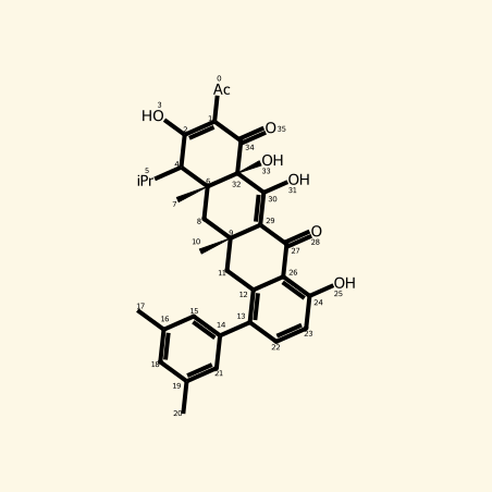 CC(=O)C1=C(O)C(C(C)C)[C@@]2(C)C[C@@]3(C)Cc4c(-c5cc(C)cc(C)c5)ccc(O)c4C(=O)C3=C(O)[C@@]2(O)C1=O